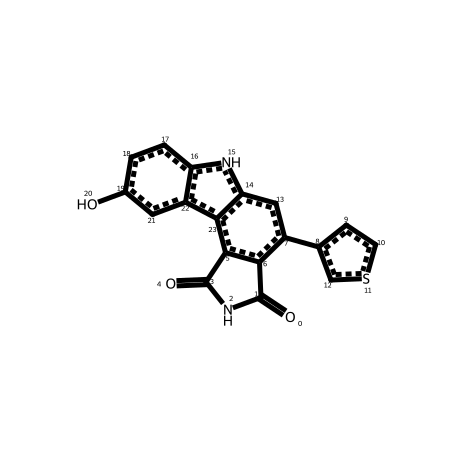 O=C1NC(=O)c2c1c(-c1ccsc1)cc1[nH]c3ccc(O)cc3c21